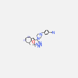 CC1C/C=C\C=C/c2cc(C(c3nnnn3C(C)(C)C)N3CCN(Cc4ccc(C#N)cc4)CC3)oc21